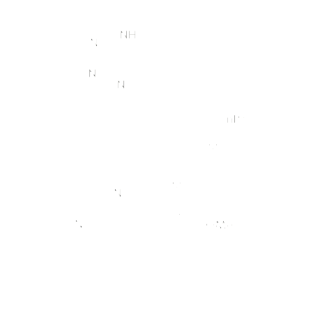 CCCOc1cc(-n2cnc3cccc(C(=O)OC)c32)ccc1-c1ccccc1-c1nnn[nH]1